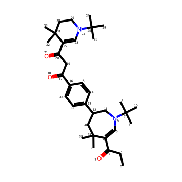 CCC(=O)C1=CN(C(C)(C)C)CC(c2ccc(C(=O)CC(=O)C3=CN(C(C)(C)C)CCC3(C)C)cc2)CC1(C)C